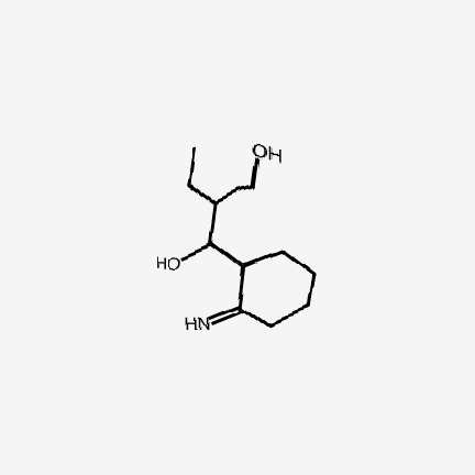 CCC(CO)C(O)C1CCCCC1=N